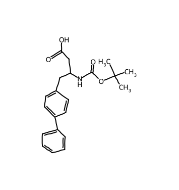 CC(C)(C)OC(=O)NC(CC(=O)O)Cc1ccc(-c2ccccc2)cc1